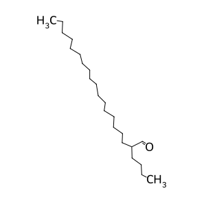 CCCCCCCCCCCCCCCCCC(C=O)CCCC